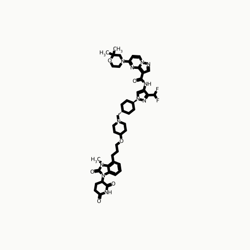 Cn1c(=O)n(C2CCC(=O)NC2=O)c2cccc(CCCOC3CCN(C[C@H]4CC[C@H](n5cc(NC(=O)c6cnn7ccc(N8CCOC(C)(C)C8)nc67)c(C(F)F)n5)CC4)CC3)c21